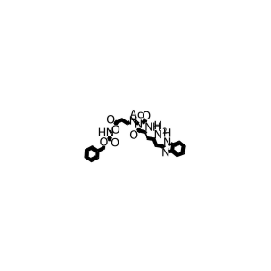 CC(=O)N(CCC(=O)ONC(=O)OCc1ccccc1)N1C(=O)N[C@@H](C[C@H](N)Cc2nc3ccccc3[nH]2)C1=O